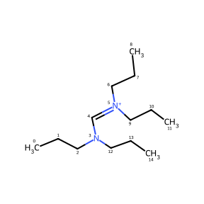 CCCN(C=[N+](CCC)CCC)CCC